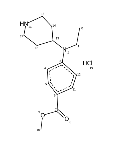 CCN(c1ccc(C(=O)OC)cc1)C1CCNCC1.Cl